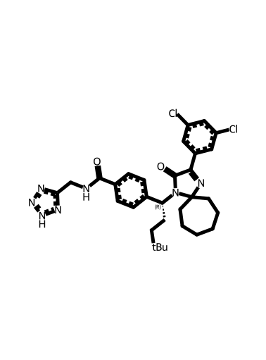 CC(C)(C)CC[C@H](c1ccc(C(=O)NCc2nn[nH]n2)cc1)N1C(=O)C(c2cc(Cl)cc(Cl)c2)=NC12CCCCCC2